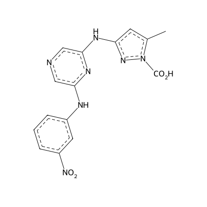 Cc1cc(Nc2cncc(Nc3cccc([N+](=O)[O-])c3)n2)nn1C(=O)O